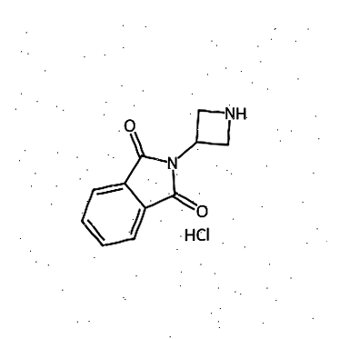 Cl.O=C1c2ccccc2C(=O)N1C1CNC1